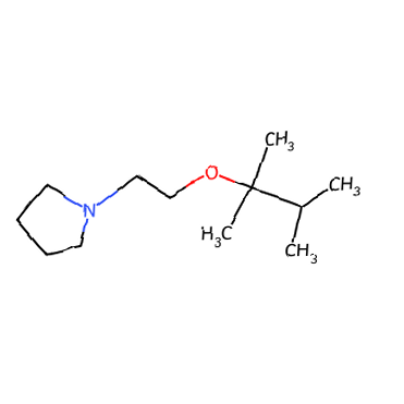 CC(C)C(C)(C)OCCN1CCCC1